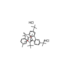 Cl.Cl.[CH2]=[Zr]([CH3])([C]1=C(C)C(C(C)(C)C)=CC1C)([c]1ccc(C)cc1)[c]1cc(C(C)(C)C)cc2c1Cc1ccc(C(C)(C)C)cc1-2